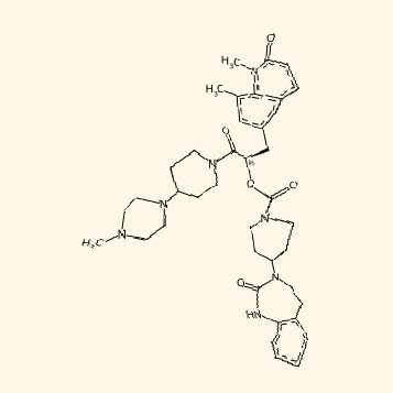 Cc1cc(C[C@@H](OC(=O)N2CCC(N3CCc4ccccc4NC3=O)CC2)C(=O)N2CCC(N3CCN(C)CC3)CC2)cc2ccc(=O)n(C)c12